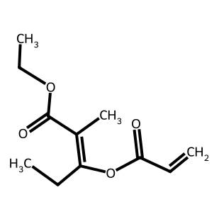 C=CC(=O)OC(CC)=C(C)C(=O)OCC